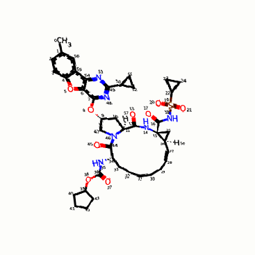 Cc1ccc2oc3c(O[C@@H]4C[C@H]5C(=O)N[C@]6(C(=O)NS(=O)(=O)C7CC7)C[C@H]6/C=C\CCCCC[C@H](NC(=O)OC6CCCC6)C(=O)N5C4)nc(C4CC4)nc3c2c1